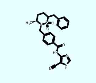 C[C@H]1CCC(Cc2ccccc2)S(=O)(=O)N1Cc1ccc(C(=O)Nc2nc[nH]c2C#N)cc1